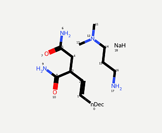 CCCCCCCCCCC=CC(CC(N)=O)C(N)=O.CN(C)CCCN.[NaH]